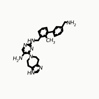 Cc1c(CNc2ncc(N)c(N3CCc4nc[nH]c4CC3)n2)cccc1-c1cccc(CN)c1